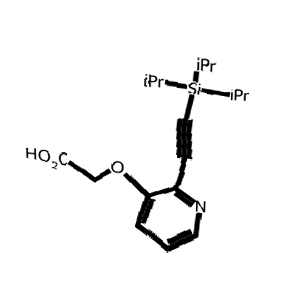 CC(C)[Si](C#Cc1ncccc1OCC(=O)O)(C(C)C)C(C)C